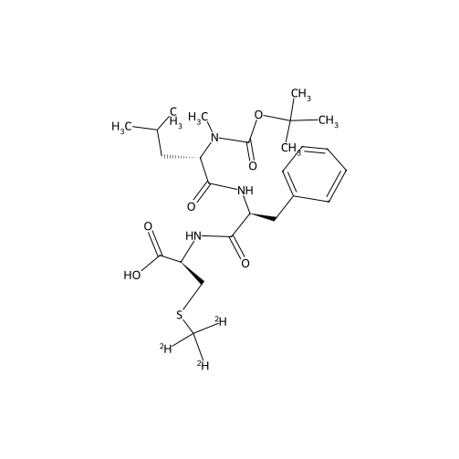 [2H]C([2H])([2H])SC[C@H](NC(=O)[C@H](Cc1ccccc1)NC(=O)[C@H](CC(C)C)N(C)C(=O)OC(C)(C)C)C(=O)O